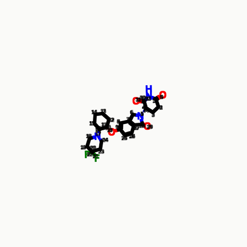 O=C1CC[C@H](N2Cc3cc(O[C@@H]4CCCC[C@@H]4N4CCC(F)(F)CC4)ccc3C2=O)C(=O)N1